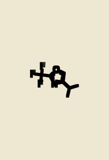 CC(C)c1coc(C(F)(F)F)n1